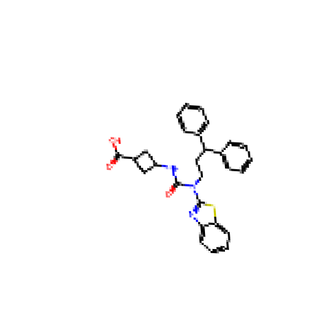 O=C(O)C1CC(NC(=O)N(CCC(c2ccccc2)c2ccccc2)c2nc3ccccc3s2)C1